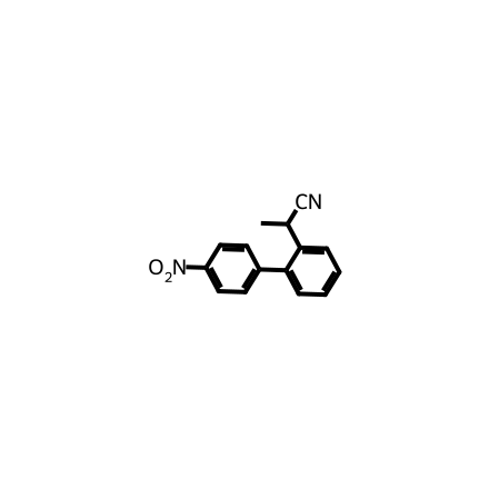 CC(C#N)c1ccccc1-c1ccc([N+](=O)[O-])cc1